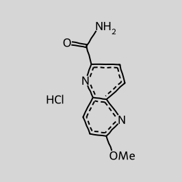 COc1ccc2nc(C(N)=O)ccc2n1.Cl